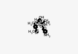 Cc1ncsc1-c1ccc([C@H](C)NC(=O)[C@@H]2C[C@@H](O)CN2C(=O)C(NC(=O)c2cc3cc(N)ccc3o2)C(C)(C)C)cc1